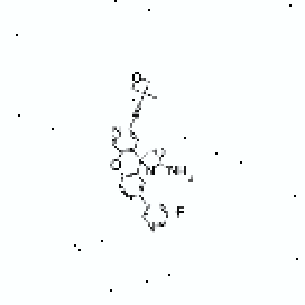 CC1(C#Cc2cc3c(cn2)Oc2ccc(-c4cncc(F)c4)cc2[C@@]32COC(N)=N2)COC1